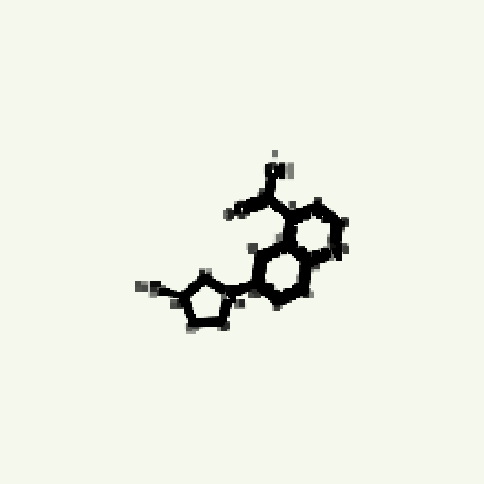 O=C(O)c1ccnc2ccc(N3CC[C@@H](F)C3)cc12